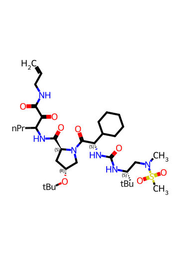 C=CCNC(=O)C(=O)C(CCC)NC(=O)[C@@H]1C[C@@H](OC(C)(C)C)CN1C(=O)[C@@H](NC(=O)N[C@H](CN(C)S(C)(=O)=O)C(C)(C)C)C1CCCCC1